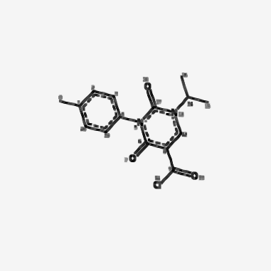 Cc1ccc(-n2c(=O)c(C(=O)Cl)cn(C(C)C)c2=O)cc1